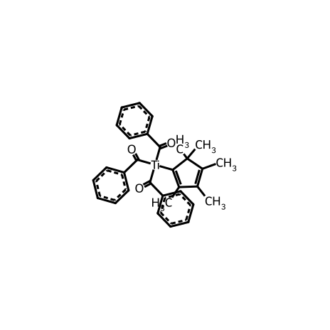 CC1=C(C)C(C)(C)[C]([Ti]([C](=O)c2ccccc2)([C](=O)c2ccccc2)[C](=O)c2ccccc2)=C1C